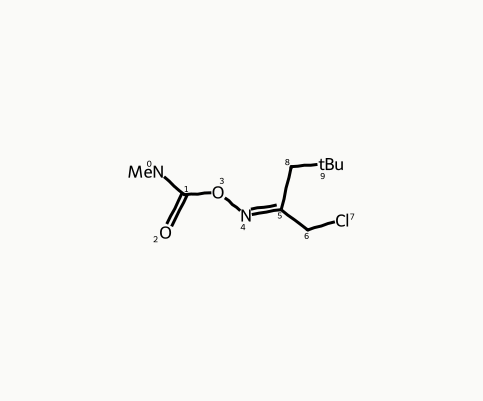 CNC(=O)ON=C(CCl)CC(C)(C)C